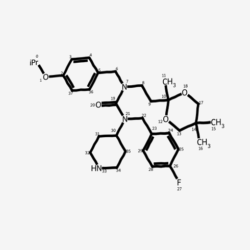 CC(C)Oc1ccc(CN(CCC2(C)OCC(C)(C)CO2)C(=O)N(Cc2ccc(F)cc2)C2CCNCC2)cc1